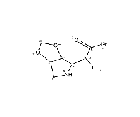 CC(C)C(=O)N(C)C1NCC2OCOC21